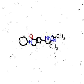 Cc1cn2nc(-c3ccc4c(c3)CCN(C3CCCCCCC3)C4=O)cc(C)c2n1